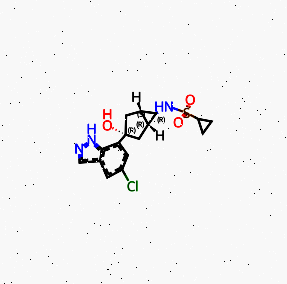 O=S(=O)(N[C@H]1[C@@H]2C[C@@](O)(c3cc(Cl)cc4cn[nH]c34)C[C@@H]21)C1CC1